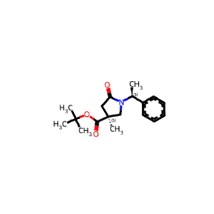 C[C@@H](c1ccccc1)N1C[C@@](C)(C(=O)OC(C)(C)C)CC1=O